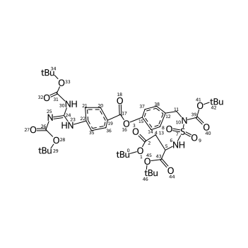 CC(C)(C)OC(=O)CC(NS(=O)(=O)N(Cc1ccc(OC(=O)c2ccc(NC(=NC(=O)OC(C)(C)C)NC(=O)OC(C)(C)C)cc2)cc1)C(=O)OC(C)(C)C)C(=O)OC(C)(C)C